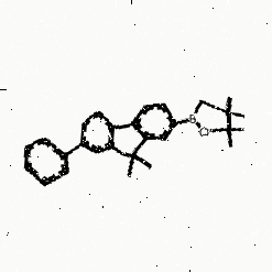 CC1(C)c2cc(B3CC(C)(C)C(C)(C)O3)ccc2-c2ccc(-c3ccccc3)cc21